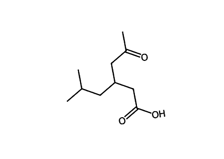 CC(=O)CC(CC(=O)O)CC(C)C